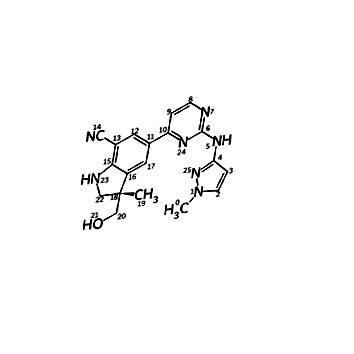 Cn1ccc(Nc2nccc(-c3cc(C#N)c4c(c3)[C@](C)(CO)CN4)n2)n1